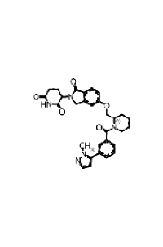 Cn1nccc1-c1cccc(C(=O)N2CCCC[C@@H]2COc2ccc3c(c2)CN(C2CCC(=O)NC2=O)C3=O)c1